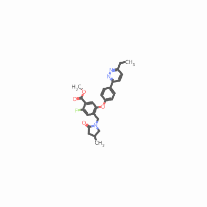 CCc1ccc(-c2ccc(Oc3cc(C(=O)OC)c(F)cc3CN3CC(C)CC3=O)cc2)nn1